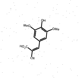 COc1cc(C=C(C#N)C(=O)O)cc(OC)c1O